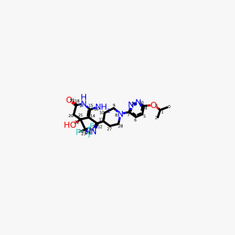 CC(C)Oc1ccc(N2CCC(C(=N)C3=C(N)NC(=O)CC3(O)C(F)(F)F)CC2)nn1